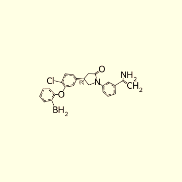 Bc1ccccc1Oc1cc([C@H]2CC(=O)N(c3cccc(C(=C)N)c3)C2)ccc1Cl